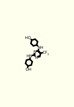 OC1CCC(Nc2ncc(C(F)(F)F)c(NC3CCC(O)CC3)n2)CC1